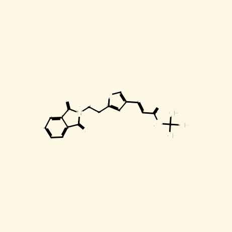 CC(C)(C)OC(=O)C=Cc1csc(CCN2C(=O)c3ccccc3C2=O)c1